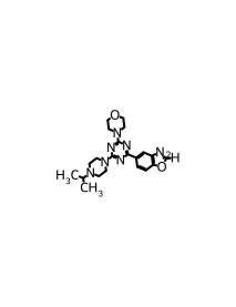 [2H]c1nc2cc(-c3nc(N4CCOCC4)nc(N4CCN(C(C)C)CC4)n3)ccc2o1